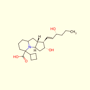 CCC[C@@H](O)/C=C/[C@@H]1[C@H]2CC3CCCC(C(=O)O)(C4CCC4)N3[C@@H]2C[C@H]1O